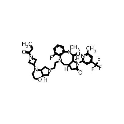 C=CC(=O)N1CC(N2CCO[C@@H]3CN(CCN4C[C@H]5CC(=O)N(c6cc(C(F)(F)F)cc(C)n6)[C@@H]5C(=O)N(C)c5cccc(F)c54)CC32)C1